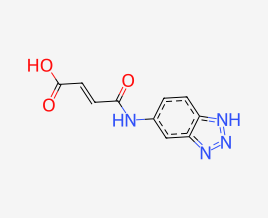 O=C(O)C=CC(=O)Nc1ccc2[nH]nnc2c1